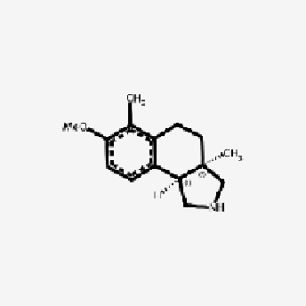 COc1ccc2c(c1C)CC[C@@]1(C)CNC[C@@H]21